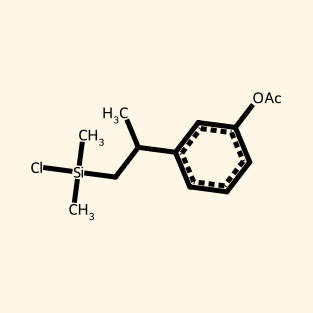 CC(=O)Oc1cccc(C(C)C[Si](C)(C)Cl)c1